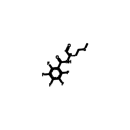 CSCC[C@@H]([C]=O)NC(=O)c1c(F)c(F)c(F)c(F)c1F